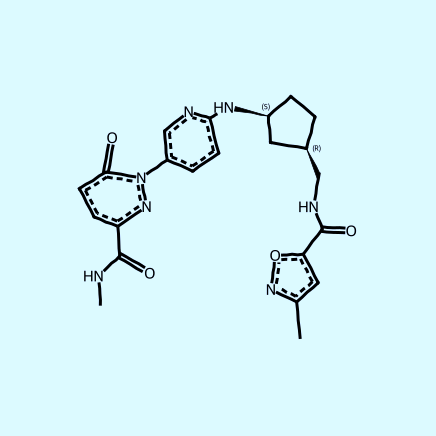 CNC(=O)c1ccc(=O)n(-c2ccc(N[C@H]3CC[C@@H](CNC(=O)c4cc(C)no4)C3)nc2)n1